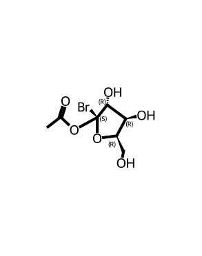 CC(=O)O[C@@]1(Br)O[C@H](CO)[C@H](O)[C@H]1O